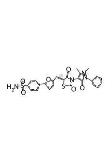 Cc1c(N2C(=O)S/C(=C\c3ccc(-c4ccc(S(N)(=O)=O)cc4)o3)C2=O)c(=O)n(-c2ccccc2)n1C